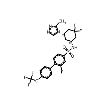 Cc1nncn1[C@H]1C[C@@H](NS(=O)(=O)c2ccc(-c3ccc(OC(F)(F)F)cc3)c(F)c2)CC(F)(F)C1